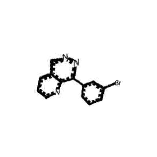 Brc1cccc(-c2nncc3cccnc23)c1